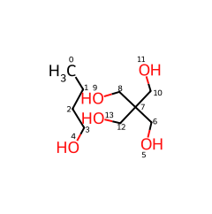 CCCCO.OCC(CO)(CO)CO